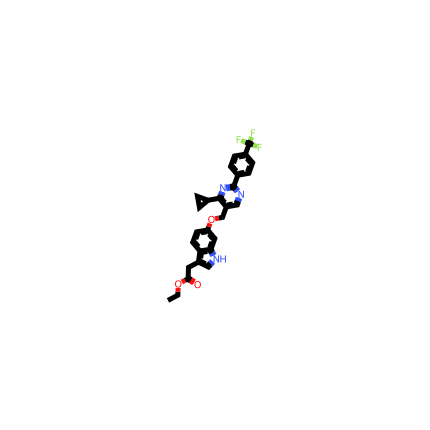 CCOC(=O)Cc1c[nH]c2cc(OCc3cnc(-c4ccc(C(F)(F)F)cc4)nc3C3CC3)ccc12